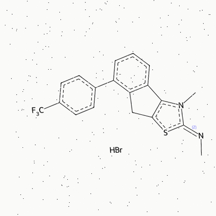 Br.C/N=c1\sc2c(n1C)-c1cccc(-c3ccc(C(F)(F)F)cc3)c1C2